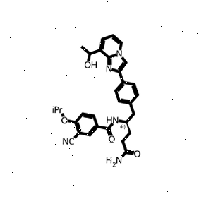 CC(C)Oc1ccc(C(=O)N[C@H](CCC(N)=O)Cc2ccc(-c3cn4cccc(C(C)O)c4n3)cc2)cc1C#N